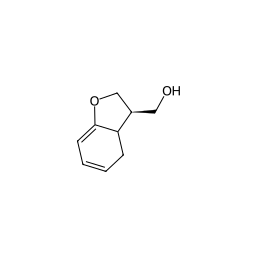 OC[C@@H]1COC2=CC=CCC21